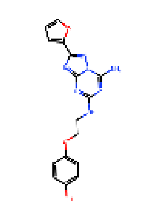 Nc1nc(NCCOc2ccc(O)cc2)nc2nc(-c3ccco3)nn12